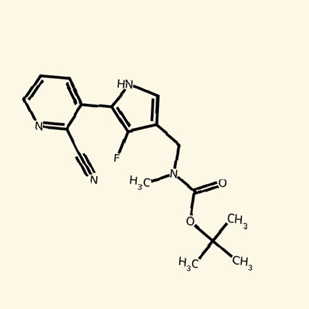 CN(Cc1c[nH]c(-c2cccnc2C#N)c1F)C(=O)OC(C)(C)C